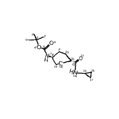 CC(C)(C)OC(=O)N[C@H]1CC[C@H](C(=O)NC2CC2)CC1